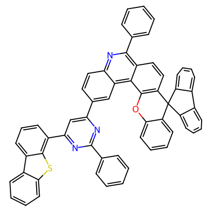 c1ccc(-c2nc(-c3ccc4nc(-c5ccccc5)c5ccc6c(c5c4c3)Oc3ccccc3C63c4ccccc4-c4ccccc43)cc(-c3cccc4c3sc3ccccc34)n2)cc1